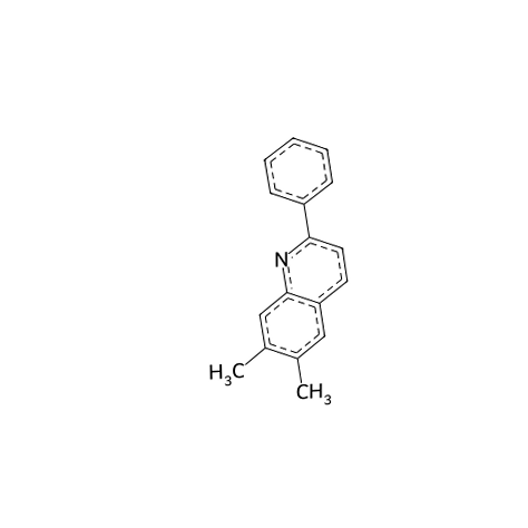 Cc1cc2ccc(-c3ccccc3)nc2cc1C